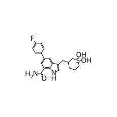 NC(=O)c1cc(-c2ccc(F)cc2)cc2c(CC3CCCS(O)(O)C3)c[nH]c12